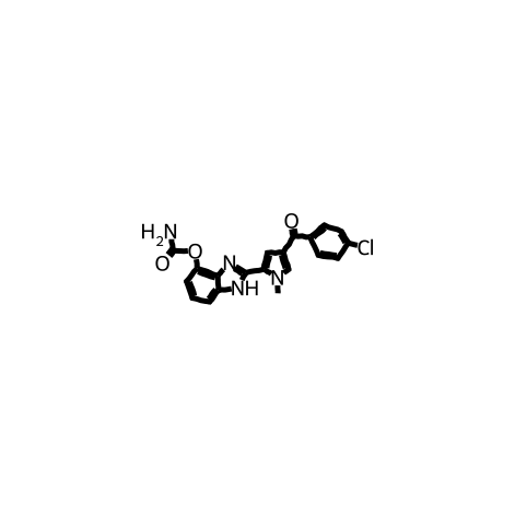 Cn1cc(C(=O)c2ccc(Cl)cc2)cc1-c1nc2c(OC(N)=O)cccc2[nH]1